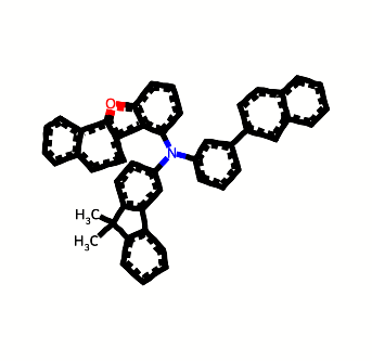 CC1(C)c2ccccc2-c2cc(N(c3cccc(-c4ccc5ccccc5c4)c3)c3cccc4oc5c6ccccc6ccc5c34)ccc21